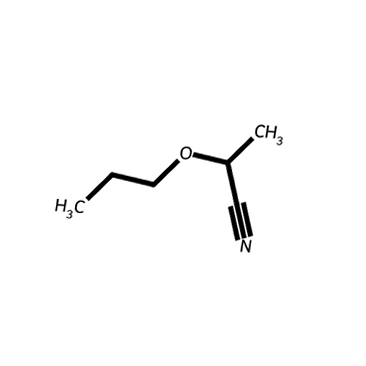 CCCOC(C)C#N